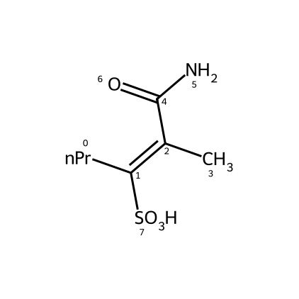 CCC/C(=C(/C)C(N)=O)S(=O)(=O)O